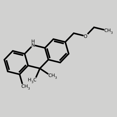 CCOCc1ccc2c(c1)Nc1cccc(C)c1C2(C)C